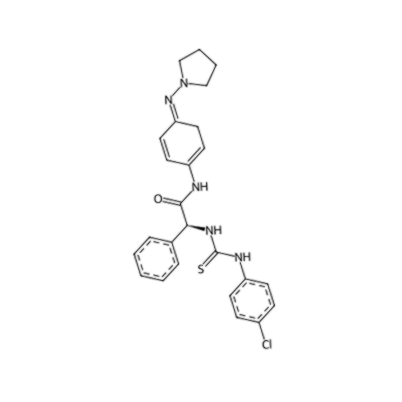 O=C(NC1=CCC(=NN2CCCC2)C=C1)[C@@H](NC(=S)Nc1ccc(Cl)cc1)c1ccccc1